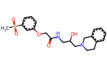 CS(=O)(=O)c1cccc(OCC(=O)NCC(O)CN2CCc3ccccc3C2)c1